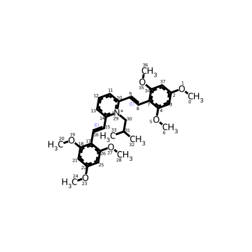 COc1cc(OC)c(/C=C/c2cccc(/C=C/c3c(OC)cc(OC)cc3OC)[n+]2CC(C)C)c(OC)c1